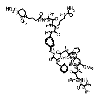 CC[C@H](C)[C@@H]([C@@H](CC(=O)N1CCC[C@H]1[C@H](OC)[C@@H](C)C(=O)N[C@@H](Cc1ccccc1)C(=O)NCc1ccc(NC(=O)[C@H](CCCNC(N)=O)NC(=O)[C@@H](NC(=O)CCCN2CC[C@H](C(=O)O)C[C@@H]2C(F)(F)F)C(C)C)cc1)OC)N(C)C(=O)[C@@H](NC(=O)[C@H](C(C)C)N(C)C)C(C)C